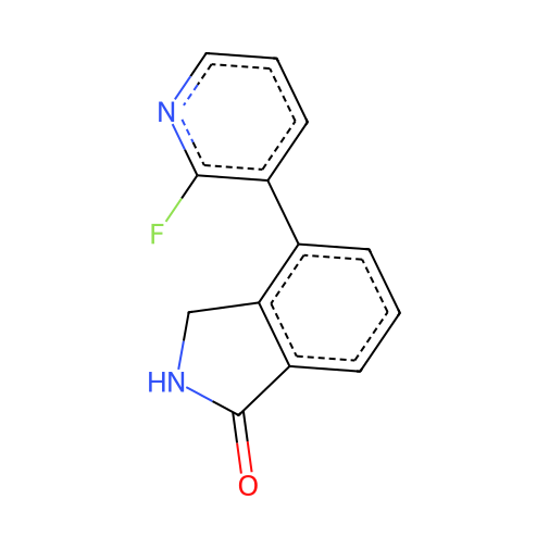 O=C1NCc2c1cccc2-c1cccnc1F